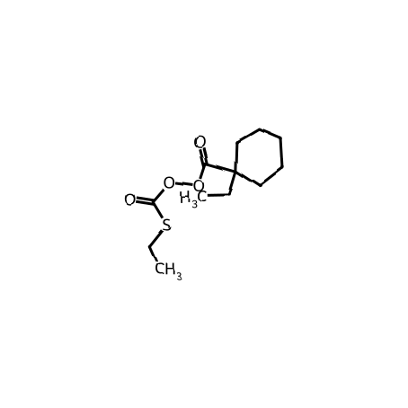 CCSC(=O)OOC(=O)C1(CC)CCCCC1